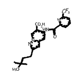 CC(C)(O)CCc1cc2cc(NC(=O)c3cccc(C(F)(F)F)n3)c(C(=O)O)cn2n1